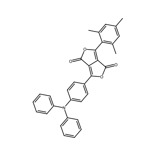 Cc1cc(C)c(C2=C3C(=O)OC(c4ccc(N(c5ccccc5)c5ccccc5)cc4)=C3C(=O)O2)c(C)c1